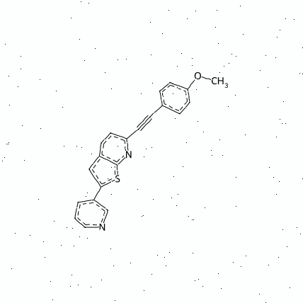 COc1ccc(C#Cc2ccc3cc(-c4cccnc4)sc3n2)cc1